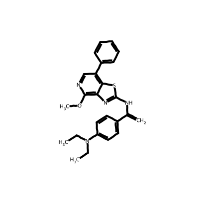 C=C(Nc1nc2c(OC)ncc(-c3ccccc3)c2s1)c1ccc(N(CC)CC)cc1